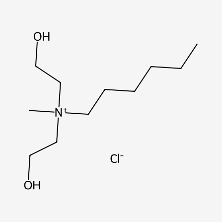 CCCCCC[N+](C)(CCO)CCO.[Cl-]